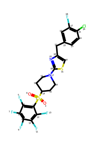 O=S(=O)(c1c(F)c(F)c(F)c(F)c1F)C1CCN(c2nc(Cc3ccc(Cl)c(F)c3)cs2)CC1